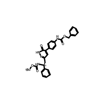 CC(C)(C)OC(=O)N[C@@H](Cc1cc(-c2ccc(NC(=O)OCc3ccccc3)cc2)c(=O)[nH]n1)c1ccccc1